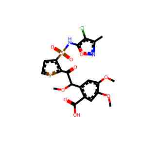 COc1cc(C(=O)O)c(C(OC)C(=O)c2sccc2S(=O)(=O)Nc2onc(C)c2Cl)cc1OC